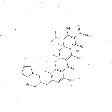 CC(C)CN(Cc1cc(O)c2c(c1F)C[C@H]1C[C@H]3[C@H](N(C)C)C(O)=C(C(N)=O)C(=O)[C@@]3(O)C(O)=C1C2=O)CC1CCOC1